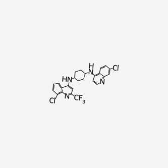 FC(F)(F)c1cc(NC2CCC(Nc3ccnc4cc(Cl)ccc34)CC2)c2cccc(Cl)c2n1